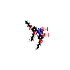 CCCCCOc1ccc(-c2nc(O)nc(-c3ccc(OCCCCC)cc3OCCCCC)n2)c(O)c1